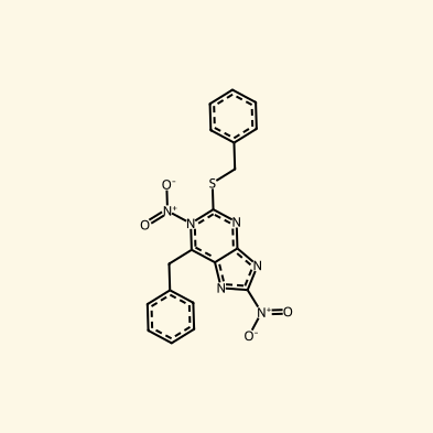 O=[N+]([O-])c1nc2nc(SCc3ccccc3)n([N+](=O)[O-])c(Cc3ccccc3)c-2n1